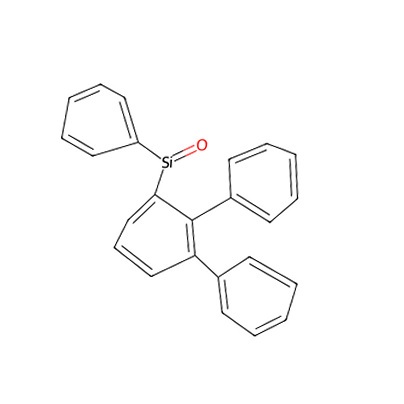 O=[Si](c1ccccc1)c1cccc(-c2ccccc2)c1-c1ccccc1